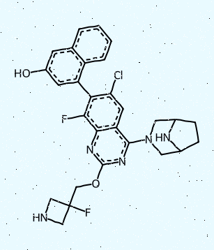 Oc1cc(-c2c(Cl)cc3c(N4CC5CCC(C4)N5)nc(OCC4(F)CNC4)nc3c2F)c2ccccc2c1